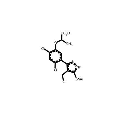 CCOC(=O)C(C)Oc1cc(-c2n[nH]c(SC)c2CCl)c(Cl)cc1Cl